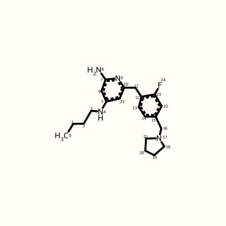 CCCCNc1cc(N)nc(Cc2ccc(CN3CCCC3)cc2F)c1